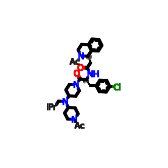 CC(=O)N1CCC(N(CC(C)C)C2CCN(C(=O)[C@@H](Cc3ccc(Cl)cc3)NC(=O)C[C@H]3c4ccccc4CCN3C(C)=O)CC2)CC1